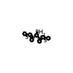 Bc1cc(-n2c3ccccc3c3c4sc5ccccc5c4ccc32)cc(-n2c3ccccc3c3c4sc5ccccc5c4ccc32)c1